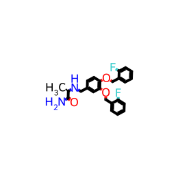 C[C@@H](NCc1ccc(OCc2ccccc2F)c(OCc2ccccc2F)c1)C(N)=O